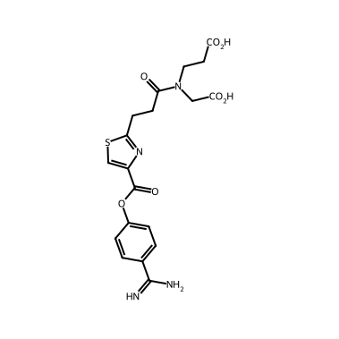 N=C(N)c1ccc(OC(=O)c2csc(CCC(=O)N(CCC(=O)O)CC(=O)O)n2)cc1